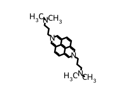 CN(C)CCCN1C=c2ccc3c4c(ccc(c24)=C1)=CN(CCCN(C)C)C=3